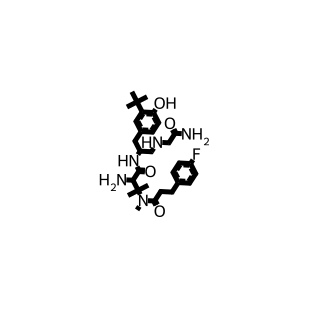 CN(C(=O)CCc1ccc(F)cc1)C(C)(C)C(N)C(=O)NC(CNCC(N)=O)Cc1ccc(O)c(C(C)(C)C)c1